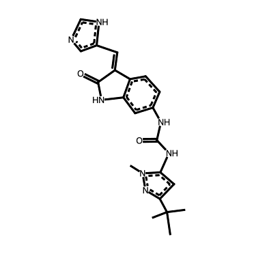 Cn1nc(C(C)(C)C)cc1NC(=O)Nc1ccc2c(c1)NC(=O)C2=Cc1cnc[nH]1